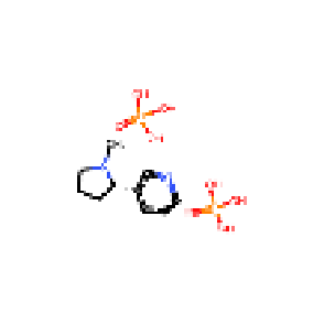 CN1CCC[C@H]1c1cccnc1.O=P(O)(O)O.O=P(O)(O)O